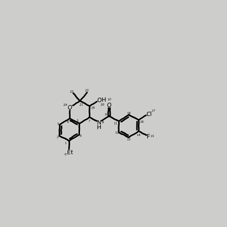 CCc1ccc2c(c1)C(NC(=O)c1ccc(F)c(Cl)c1)C(O)C(C)(C)O2